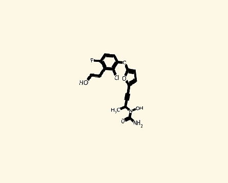 CC(C#Cc1ccc(Oc2ccc(F)c(CCO)c2Cl)o1)N(O)C(N)=O